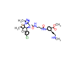 CNCC#Cc1cc(NC(=O)CCCNC(=O)C[C@@H]2N=C(c3ccc(Cl)cc3)c3c(sc(C)c3C)-n3c(C)nnc32)ccc1C(=O)OC